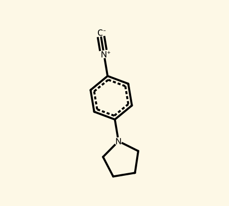 [C-]#[N+]c1ccc(N2CCCC2)cc1